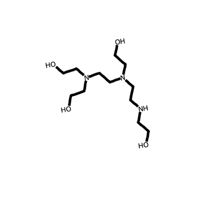 OCCNCCN(CCO)CCN(CCO)CCO